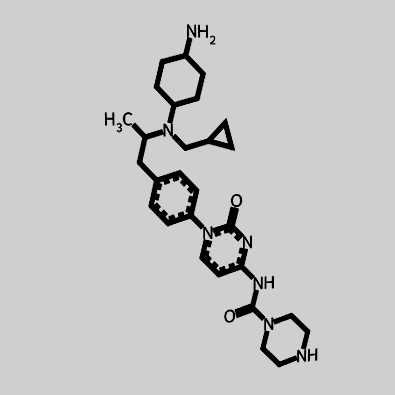 CC(Cc1ccc(-n2ccc(NC(=O)N3CCNCC3)nc2=O)cc1)N(CC1CC1)C1CCC(N)CC1